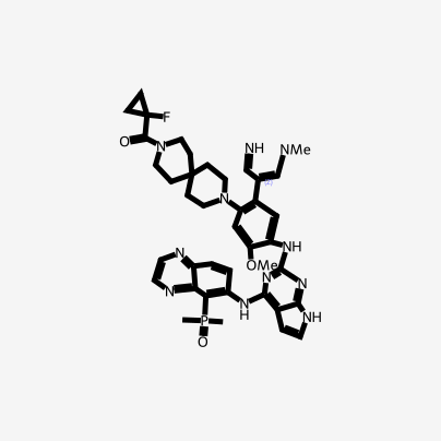 CN/C=C(\C=N)c1cc(Nc2nc(Nc3ccc4nccnc4c3P(C)(C)=O)c3cc[nH]c3n2)c(OC)cc1N1CCC2(CCN(C(=O)C3(F)CC3)CC2)CC1